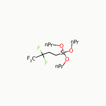 CCCO[Si](CCC(F)(F)C(F)(F)F)(OCCC)OCCC